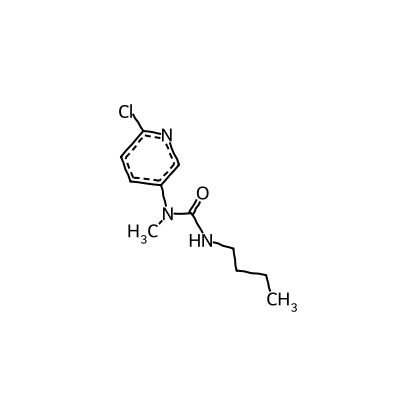 CCCCNC(=O)N(C)c1ccc(Cl)nc1